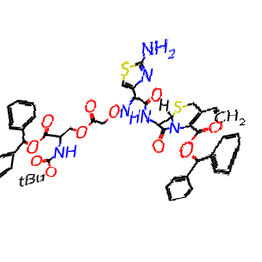 C=CC1=C(C(=O)OC(c2ccccc2)c2ccccc2)N2C(=O)C(NC(=O)C(=NOCC(=O)OCC(NC(=O)OC(C)(C)C)C(=O)OC(c3ccccc3)c3ccccc3)c3csc(N)n3)[C@@H]2SC1